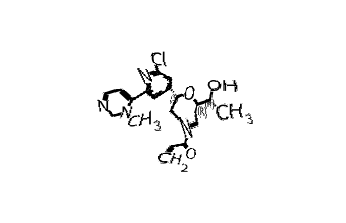 C=CC(=O)N1C[C@H](c2cc(Cl)nc(C3=CC=NCN3C)c2)O[C@@H]([C@@H](C)O)C1